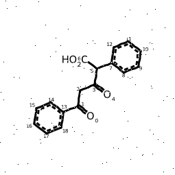 O=C(CC(=O)C(C(=O)O)c1ccccc1)c1ccccc1